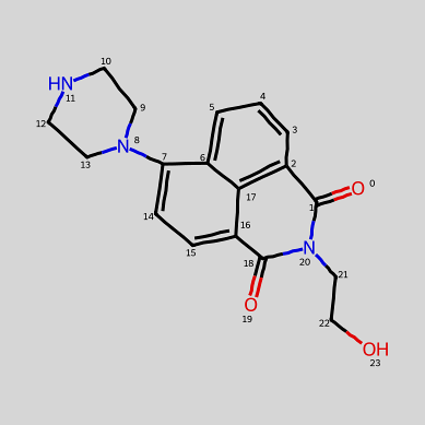 O=C1c2cccc3c(N4CCNCC4)ccc(c23)C(=O)N1CCO